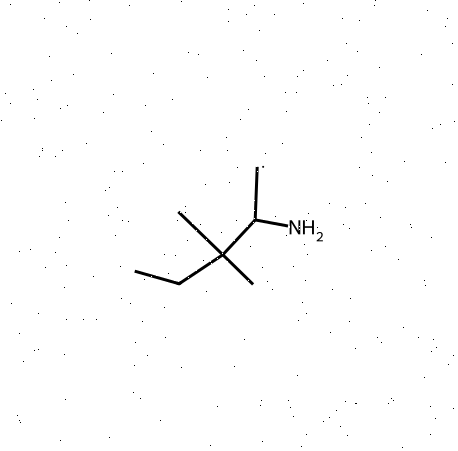 [CH2]C(N)C(C)(C)CC